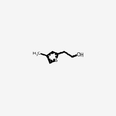 Cc1csc(CCO)c1